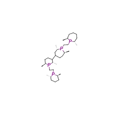 C[C@H]1CCCC[C@H](C)P1CCP1[C@@H](C)CCC(C2CC[C@H](C)P(CCP3[C@@H](C)CCC[C@@H]3C)[C@H]2C)C[C@@H]1C